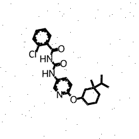 CC(C)C1(C)CCCC(Oc2ccc(NC(=O)NC(=O)c3ccccc3Cl)cn2)C1